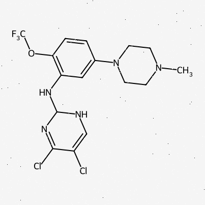 CN1CCN(c2ccc(OC(F)(F)F)c(NC3N=C(Cl)C(Cl)=CN3)c2)CC1